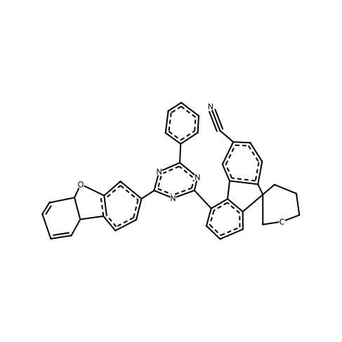 N#Cc1ccc2c(c1)-c1c(-c3nc(-c4ccccc4)nc(-c4ccc5c(c4)OC4C=CC=CC54)n3)cccc1C21CCCCC1